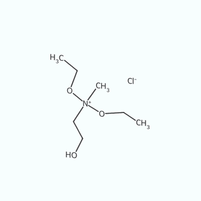 CCO[N+](C)(CCO)OCC.[Cl-]